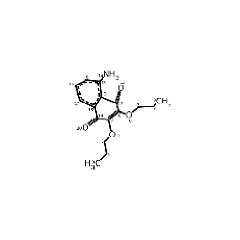 CCCOC1=C(OCCC)C(=O)c2c(N)cccc2C1=O